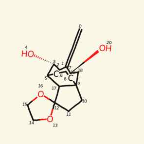 C=C1C[C@@H](O)C2CCCC3(CCC4(OCCO4)C23)C[C@H]1O